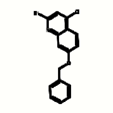 Clc1cc(Br)nc2cc(OCc3ccccc3)ccc12